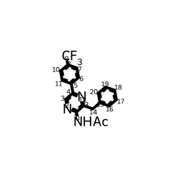 CC(=O)Nc1ncc(-c2ccc(C(F)(F)F)cc2)nc1Cc1ccccc1